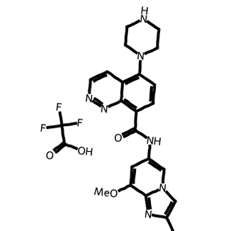 COc1cc(NC(=O)c2ccc(N3CCNCC3)c3ccnnc23)cn2cc(C)nc12.O=C(O)C(F)(F)F